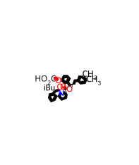 CCC(C)C(C(=O)N1CCCC[C@H]1C(=O)O[C@H](CCc1ccc(C)c(C)c1)c1cccc(OCC(=O)O)c1)c1ccccc1